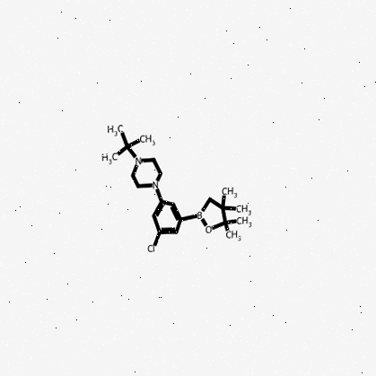 CC(C)(C)N1CCN(c2cc(Cl)cc(B3CC(C)(C)C(C)(C)O3)c2)CC1